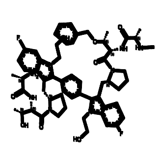 CN[C@@H](C)C(=O)N[C@H](C(=O)N1CCC[C@H]1Cc1c(-c2ccc(-c3c(C[C@@H]4CCCN4C(=O)[C@@H](NC(=O)[C@H](C)N)[C@@H](C)O)c4ccc(F)cc4n3CCO)cc2)n(CCO)c2cc(F)ccc12)[C@@H](C)OCc1ccccc1